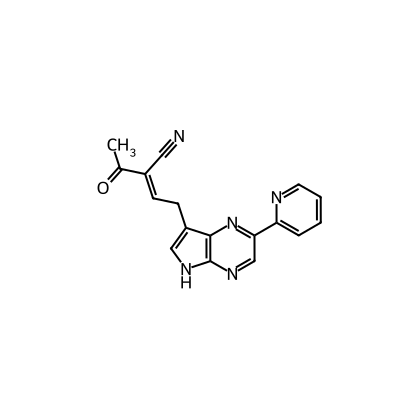 CC(=O)/C(C#N)=C/Cc1c[nH]c2ncc(-c3ccccn3)nc12